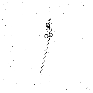 C=CCON1CCC(OC(=O)CCCCCCCCCCCCCCCCC)CC1